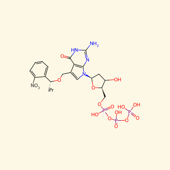 CC(C)[C@@H](OCc1cn([C@H]2CC(O)[C@@H](COP(=O)(O)OP(=O)(O)OP(=O)(O)O)O2)c2nc(N)[nH]c(=O)c12)c1ccccc1[N+](=O)[O-]